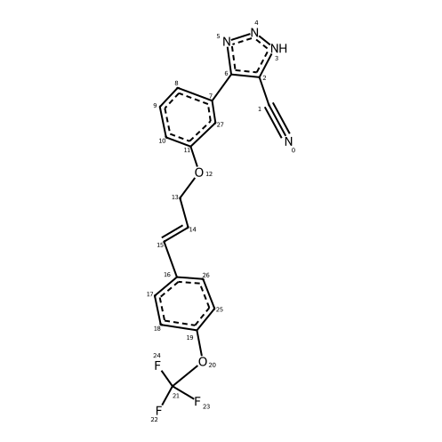 N#Cc1[nH]nnc1-c1cccc(OC/C=C/c2ccc(OC(F)(F)F)cc2)c1